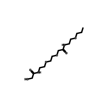 CCCOCCNC(=O)COCCOCCNC(=O)CO